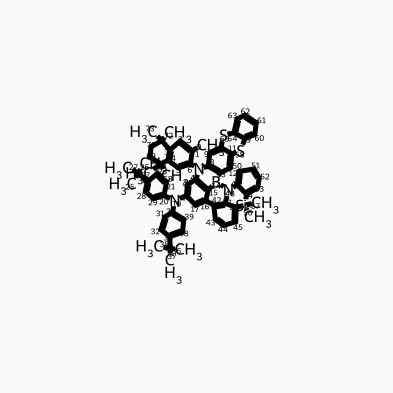 Cc1cc2c(cc1N1c3cc4c(cc3B3c5c(cc(N(c6ccc(C(C)(C)C)cc6)c6ccc(C(C)(C)C)cc6)cc51)-c1cccc5c1N3c1ccccc1[Si]5(C)C)Sc1ccccc1S4)C(C)(C)CCC2(C)C